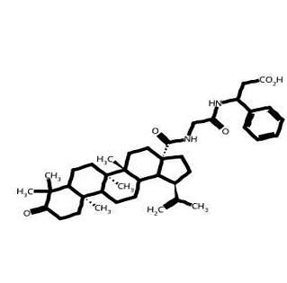 C=C(C)[C@@H]1CC[C@]2(C(=O)NCC(=O)NC(CC(=O)O)c3ccccc3)CC[C@]3(C)C(CCC4[C@@]5(C)CCC(=O)C(C)(C)C5CC[C@]43C)C12